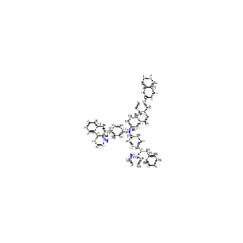 c1ccc2cc(-c3ccc4c(ccc5cc(N(c6ccc(-c7cc8ccccc8c8cccnc78)cc6)c6ccc(-c7cc8ccccc8c8cccnc78)cc6)ccc54)c3)ccc2c1